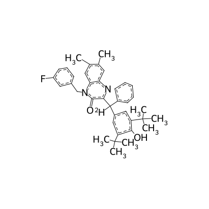 [2H]C(c1ccccc1)(c1cc(C(C)(C)C)c(O)c(C(C)(C)C)c1)c1nc2cc(C)c(C)cc2n(Cc2cccc(F)c2)c1=O